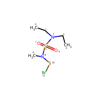 CCN(CC)S(=O)(=O)N(C)SBr